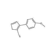 COc1ccc(C2=[C]([Ti])CC=C2)cc1